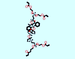 C=CC(=O)CCCO[Si](C)(CC[Si](C)(C)C(C)(CC)O[Si](C)(C)C(C)(CC)C(CC)(CC)O[Si](c1ccccc1)(c1ccccc1)C(CC)(CC)O[Si](C)(C)CC[Si](C)(OCCOC(=O)C=C)OCCOC(=O)C=C)OCCOC(=O)C=C